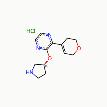 C1=C(c2nccnc2O[C@H]2CCNC2)CCOC1.Cl